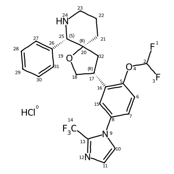 Cl.FC(F)Oc1ccc(-n2ccnc2C(F)(F)F)cc1[C@@H]1CO[C@]2(CCCN[C@H]2c2ccccc2)C1